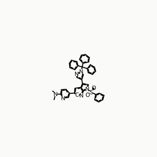 CN(C)c1ccc(-c2cnc3c(c2)c(-c2cnn(C(c4ccccc4)(c4ccccc4)c4ccccc4)c2)cn3S(=O)(=O)c2ccccc2)cn1